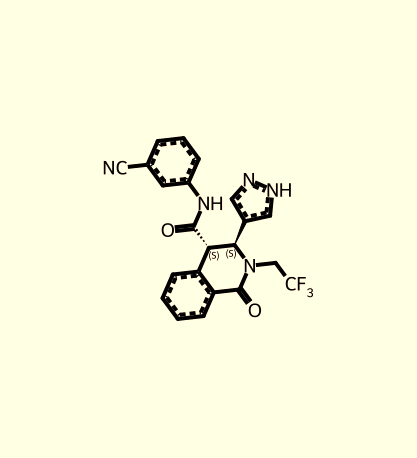 N#Cc1cccc(NC(=O)[C@H]2c3ccccc3C(=O)N(CC(F)(F)F)[C@@H]2c2cn[nH]c2)c1